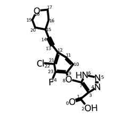 O=C(O)c1nn[nH]c1Oc1ccc(C#CC2CCOCC2)c(Cl)c1F